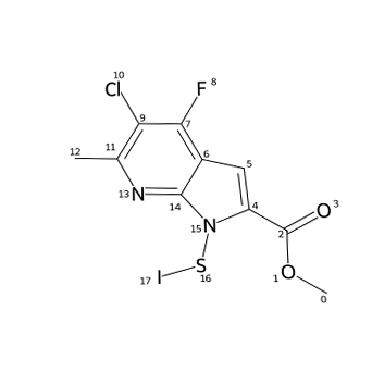 COC(=O)c1cc2c(F)c(Cl)c(C)nc2n1SI